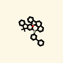 CC1(C)c2ccccc2-c2ccc(N(c3cccc(-c4ccccc4)c3)c3cccc4ccc5c6ccccc6oc5c34)cc21